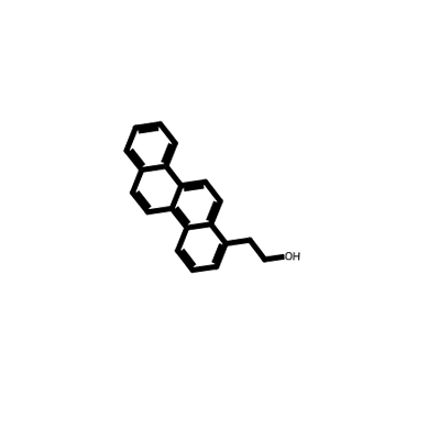 OCCc1cccc2c1ccc1c3ccccc3ccc21